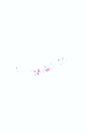 COc1ccc(C(=O)N(c2cccc(Oc3cccc(N(C(=O)c4ccc(OC)cc4)C4CCCCC4)c3)c2)C2CCCCC2)cc1